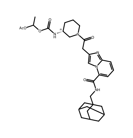 CC(=O)OC(C)OC(=O)N[C@@H]1CCCN(C(=O)Cc2cn3c(C(=O)NCC45CC6CC(CC(C6)C4)C5)cccc3n2)C1